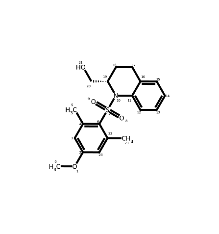 COc1cc(C)c(S(=O)(=O)N2c3ccccc3CC[C@H]2CO)c(C)c1